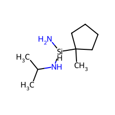 CC(C)N[SiH](N)C1(C)CCCC1